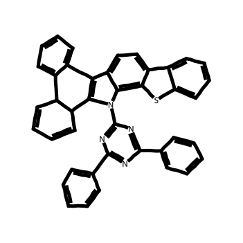 C1=CC2c3ccccc3-c3c(n(-c4nc(-c5ccccc5)nc(-c5ccccc5)n4)c4c3ccc3c5ccccc5sc34)C2C=C1